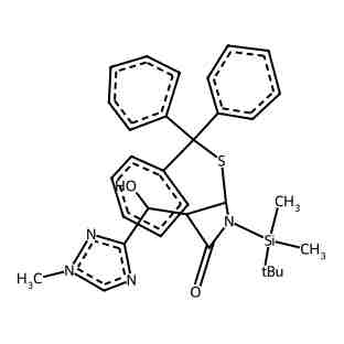 Cn1cnc(C(O)C2C(=O)N([Si](C)(C)C(C)(C)C)C2SC(c2ccccc2)(c2ccccc2)c2ccccc2)n1